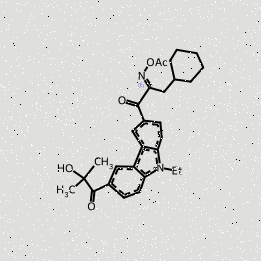 CCn1c2ccc(C(=O)/C(CC3CCCCC3)=N/OC(C)=O)cc2c2cc(C(=O)C(C)(C)O)ccc21